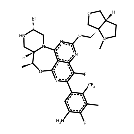 CC[C@@H]1CN2c3nc(OC[C@]45COC[C@@H]4CCN5C)nc4c(F)c(-c5cc(N)c(F)c(C)c5C(F)(F)F)nc(c34)O[C@@H](C)[C@@H]2CN1